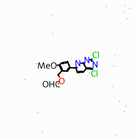 COc1ccc(-c2ccc3c(Cl)nc(Cl)nc3n2)cc1COC=O